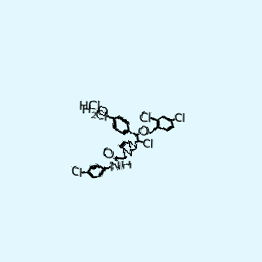 Cl.O.O=C(CN1C=CN(C(Cl)C(OCc2ccc(Cl)cc2Cl)c2ccc(Cl)cc2)C1)Nc1ccc(Cl)cc1